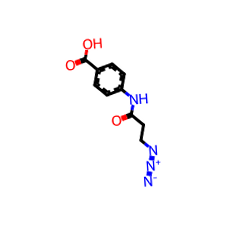 [N-]=[N+]=NCCC(=O)Nc1ccc(C(=O)O)cc1